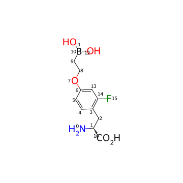 N[C@@H](Cc1ccc(OCCB(O)O)cc1F)C(=O)O